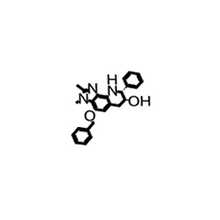 Cc1nc2c3c(cc(OCc4ccccc4)c2n1C)C[C@@H](O)[C@@H](c1ccccc1)N3